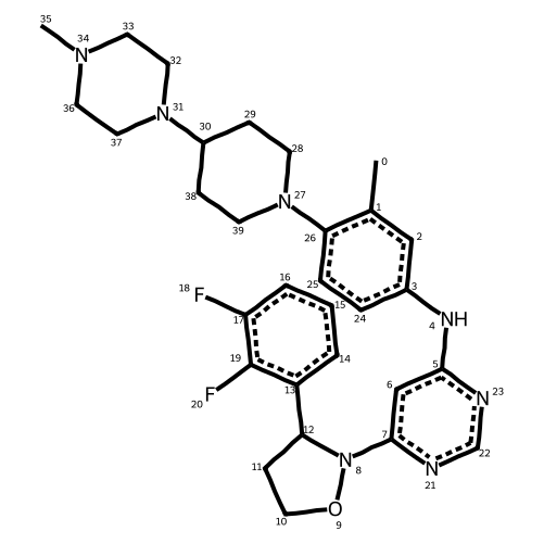 Cc1cc(Nc2cc(N3OCCC3c3cccc(F)c3F)ncn2)ccc1N1CCC(N2CCN(C)CC2)CC1